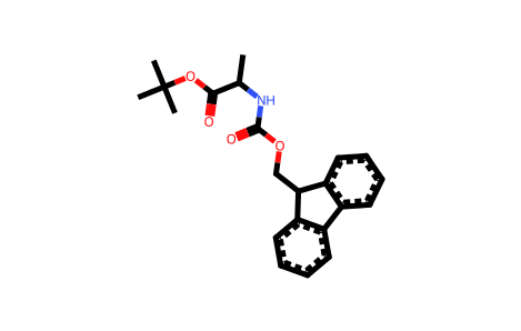 CC(NC(=O)OCC1c2ccccc2-c2ccccc21)C(=O)OC(C)(C)C